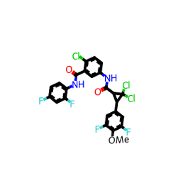 COc1c(F)cc(C2C(C(=O)Nc3ccc(Cl)c(C(=O)Nc4ccc(F)cc4F)c3)C2(Cl)Cl)cc1F